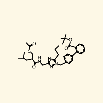 CCCc1nc(CNC(=O)C(CSC(C)=O)CC(C)C)nn1Cc1ccc(-c2ccccc2C(=O)OC(C)(C)C)cc1